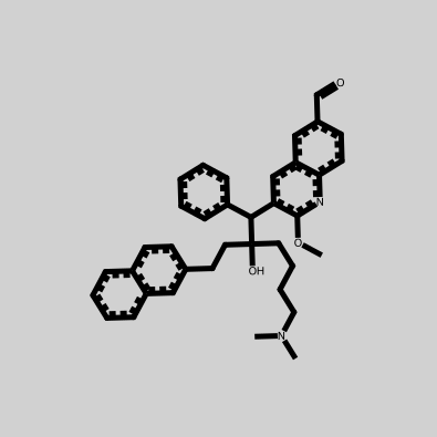 COc1nc2ccc(C=O)cc2cc1C(c1ccccc1)C(O)(CCCCN(C)C)CCc1ccc2ccccc2c1